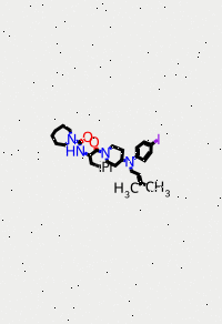 CC(C)=CCN(c1ccc(I)cc1)C1CCN(C(=O)C(CC(C)C)NC(=O)N2CCCCCC2)CC1